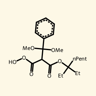 CCCCCC(CC)(CC)OC(=O)C(C(=O)OO)C(OC)(OC)c1ccccc1